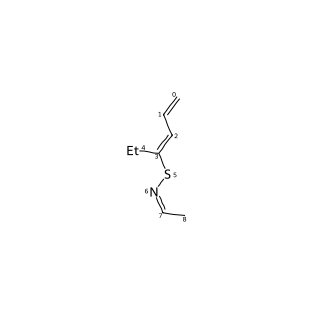 C=C/C=C(\CC)S/N=C\C